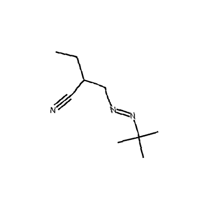 CCC(C#N)CN=NC(C)(C)C